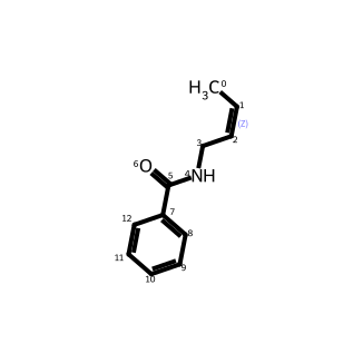 C/C=C\CNC(=O)c1ccccc1